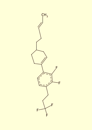 C/C=C/CCC1CC=C(c2ccc(CCC(F)(F)F)c(F)c2F)CC1